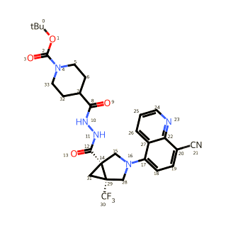 CC(C)(C)OC(=O)N1CCC(C(=O)NNC(=O)[C@]23CN(c4ccc(C#N)c5ncccc45)C[C@@]2(C(F)(F)F)C3)CC1